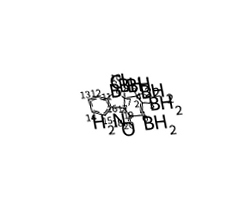 BC1=C(B)C(B)(B)C2(B)B(Cl)c3ccccc3C2(N)C1=O